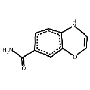 NC(=O)c1ccc2c(c1)OC=CN2